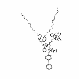 CCCCCCCCCCCCCCOCC(CNC(=O)C(CCCCNC(=O)O)NCc1ccc(-c2ccccc2)cc1)OCCCCCCCCCCCCCC